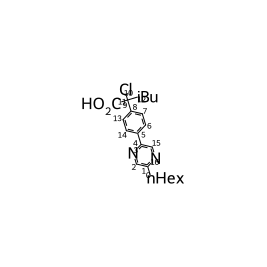 CCCCCCc1cnc(-c2ccc(C(Cl)(C(=O)O)C(C)CC)cc2)cn1